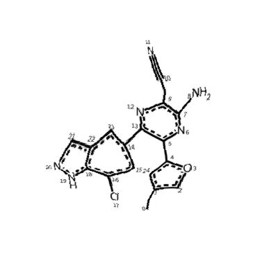 Cc1coc(-c2nc(N)c(C#N)nc2-c2cc(Cl)c3[nH]ncc3c2)c1